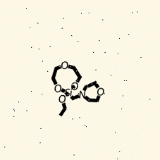 CCO[Si]1(CN2CCOCC2)OCCOCCO1